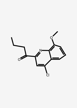 CCCC(=O)c1cc(Cl)c2cccc(OC)c2n1